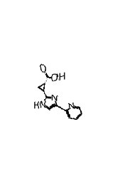 O=C(O)[C@H]1C[C@@H]1c1nc(-c2ccccn2)c[nH]1